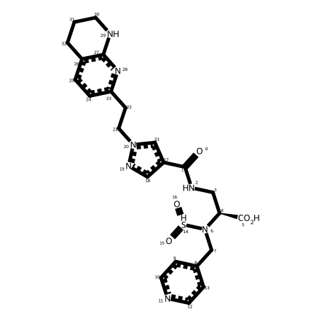 O=C(NC[C@@H](C(=O)O)N(Cc1ccncc1)[SH](=O)=O)c1cnn(CCc2ccc3c(n2)NCCC3)c1